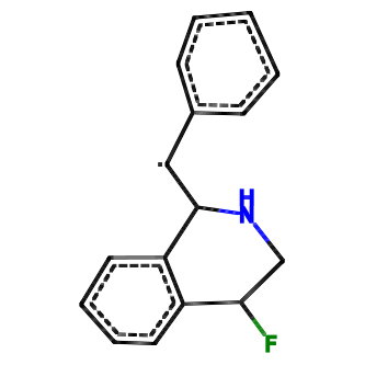 FC1CNC([CH]c2ccccc2)c2ccccc21